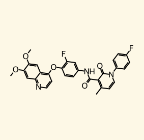 COc1cc2nccc(Oc3ccc(NC(=O)c4c(C)ccn(-c5ccc(F)cc5)c4=O)cc3F)c2cc1OC